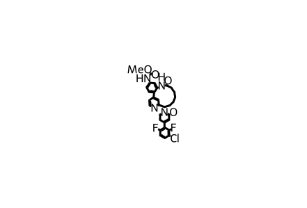 COC(=O)Nc1ccc2c(c1)NC(=O)CCCCC[C@H](N1CCC(c3c(F)ccc(Cl)c3F)=CC1=O)c1cc-2ccn1